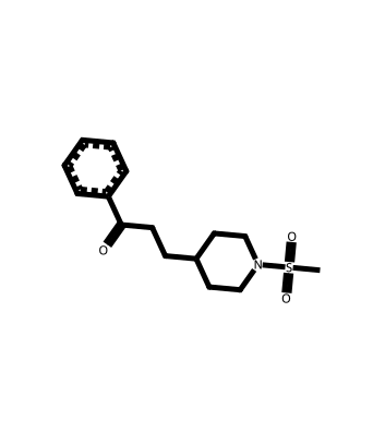 CS(=O)(=O)N1CCC(CCC(=O)c2ccccc2)CC1